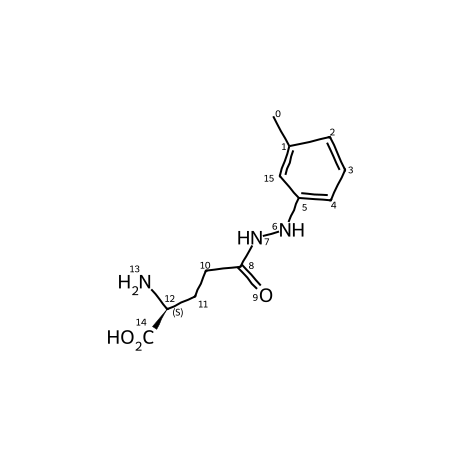 Cc1cccc(NNC(=O)CC[C@H](N)C(=O)O)c1